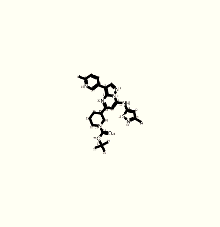 Cc1ccc(-c2cnn3c(Nc4cc(C)ns4)cc(C4CCCN(C(=O)OC(C)(C)C)C4)nc23)cn1